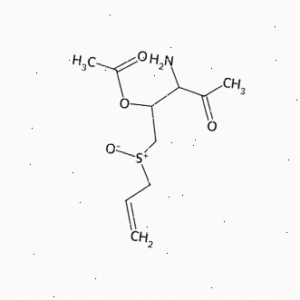 C=CC[S+]([O-])CC(OC(C)=O)C(N)C(C)=O